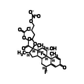 C[C@@H]1CC2C3C[C@H](F)C4=CC(=O)C=C[C@]4(C)[C@@]3(F)[C@@H](O)C[C@]2(C)[C@@]1(OC(=O)CCCO[N+](=O)[O-])C(=O)COC(=O)Cl